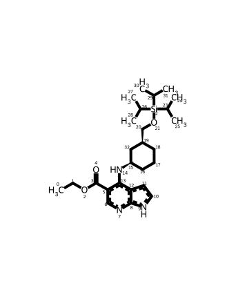 CCOC(=O)c1cnc2[nH]ccc2c1N[C@@H]1CCC[C@H](CO[Si](C(C)C)(C(C)C)C(C)C)C1